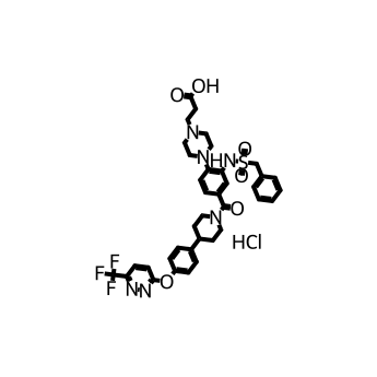 Cl.O=C(O)CCN1CCN(c2ccc(C(=O)N3CCC(c4ccc(Oc5ccc(C(F)(F)F)nn5)cc4)CC3)cc2NS(=O)(=O)Cc2ccccc2)CC1